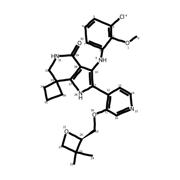 COc1c(Cl)cccc1Nc1c(-c2ccncc2OC[C@@H]2OCC2(C)C)[nH]c2c1C(=O)NCC21CCC1